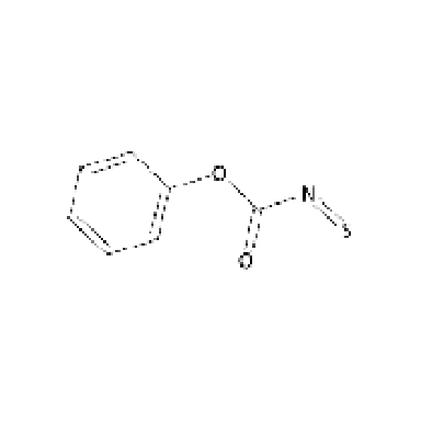 O=C(N=S)Oc1ccccc1